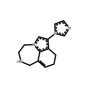 C1=C2CNCCn3cc(-n4ccnc4)c(c32)CC1